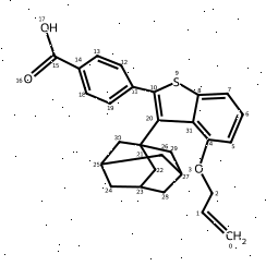 C=CCOc1cccc2sc(-c3ccc(C(=O)O)cc3)c(C34CC5CC(CC(C5)C3)C4)c12